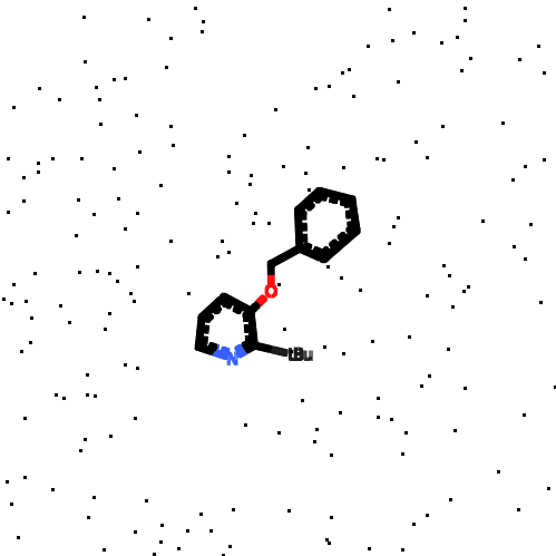 CC(C)(C)c1ncccc1OCc1ccccc1